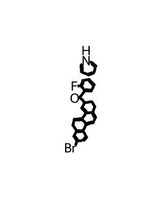 C1=CC=CNC=C1.O=C(c1ccccc1F)C1C=c2c(ccc3c2=CCc2cc(Br)ccc2-3)CC1